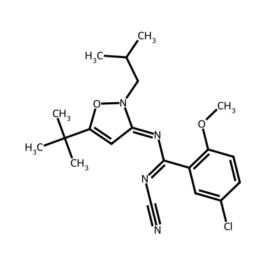 COc1ccc(Cl)cc1C(=N\C#N)/N=c1\cc(C(C)(C)C)on1CC(C)C